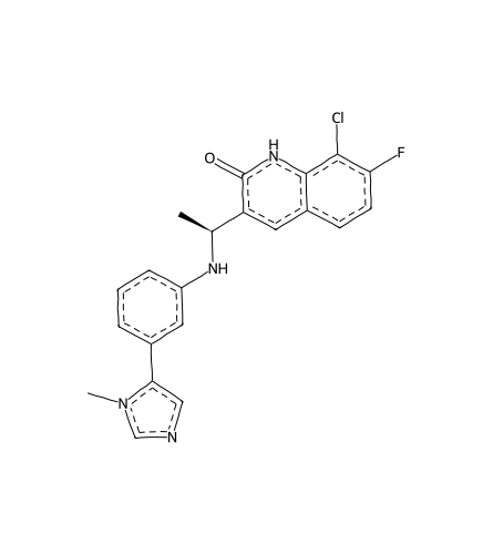 C[C@H](Nc1cccc(-c2cncn2C)c1)c1cc2ccc(F)c(Cl)c2[nH]c1=O